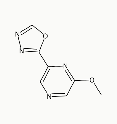 COc1cncc(-c2nnco2)n1